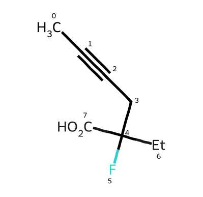 CC#CCC(F)(CC)C(=O)O